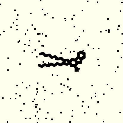 CCCCCCCCCCC1(CCCCCCCCCC)C=C(Br)C2=Cc3ccccc3C2=C1